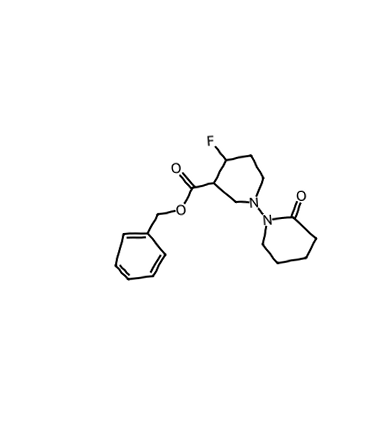 O=C(OCc1ccccc1)C1CN(N2CCCCC2=O)CCC1F